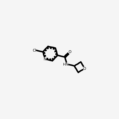 O=C(NC1COC1)c1ccc(Cl)nc1